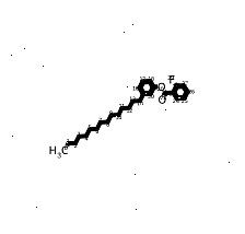 CCCCCCCCCCCCCCCc1cccc(OC(=O)c2ccccc2F)c1